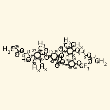 C=CC(=O)OCCCOc1cc(C)c(C(=O)Oc2ccc(OC(=O)c3c(C)cc(C(O)CCOC(=O)C=C)c(C)c3C)cc2C(=O)OCc2ccc(OC(F)(F)F)cc2)c(C)c1C